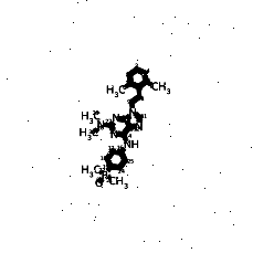 Cc1cccc(C)c1/C=C/n1cnc2c(Nc3ccc(P(C)(C)=O)cc3)nc(N(C)C)nc21